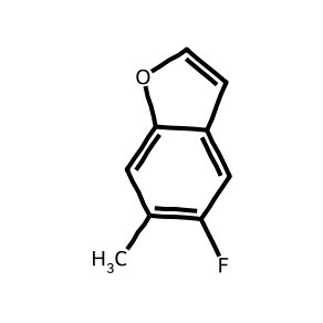 Cc1cc2occc2cc1F